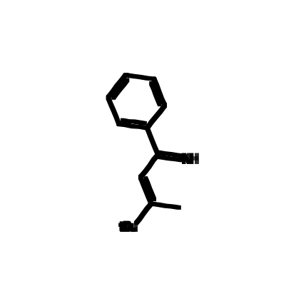 C/C(=C\C(=N)c1ccccc1)C(C)(C)C